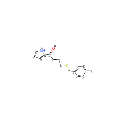 Cc1ccc(CSCCCC(=O)c2ccc[nH]2)cc1